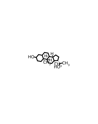 CC(O)[C@H]1CC[C@H]2[C@@H]3CCC4CC(O)CC[C@]4(C)[C@H]3CC[C@]12C